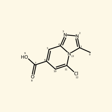 Cc1nnc2cc(C(=O)O)cc(Cl)n12